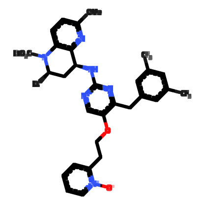 CCOC(=O)N1c2ccc(OC)nc2[C@@H](Nc2ncc(OCCc3cccc[n+]3[O-])c(Cc3cc(C(F)(F)F)cc(C(F)(F)F)c3)n2)C[C@H]1CC